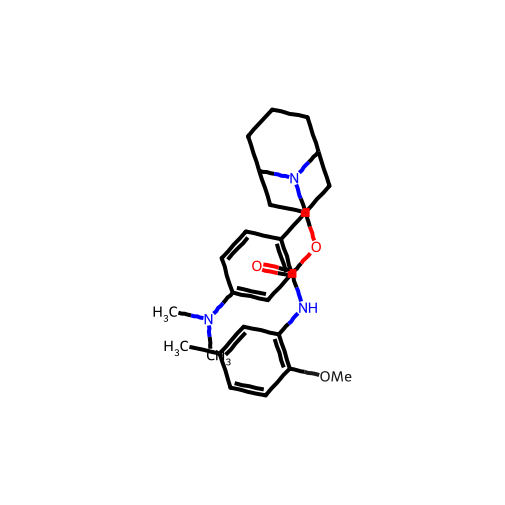 COc1ccc(C)cc1NC(=O)OC1CC2CCCC(C1)N2Cc1ccc(N(C)C)cc1